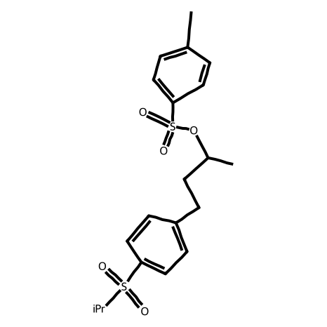 Cc1ccc(S(=O)(=O)OC(C)CCc2ccc(S(=O)(=O)C(C)C)cc2)cc1